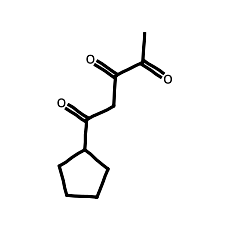 CC(=O)C(=O)CC(=O)C1CCCC1